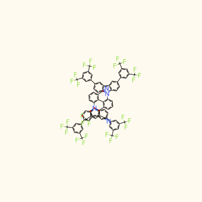 N#Cc1cc(C(F)(F)F)ccc1-c1cccc(-n2c3ccc(-c4cc(C(F)(F)F)cc(C(F)(F)F)c4)cc3c3cc(-c4cc(C(F)(F)F)cc(C(F)(F)F)c4)ccc32)c1-c1c(C#N)cccc1-n1c2ccc(-c3cc(C(F)(F)F)cc(C(F)(F)F)c3)cc2c2cc(-c3cc(C(F)(F)F)cc(C(F)(F)F)c3)ccc21